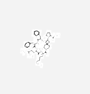 CC(C)CC[C@@H](NC(=O)[C@@H](Cc1ccccc1)NC(=O)[C@H](N)Cc1ccccc1)C(=O)N[C@H](CCCCN)C(=O)N1CCC2(CC1)CC(N1CCC[C@@H]1C(=O)O)C2